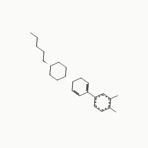 CCCCC[C@H]1CC[C@H](C2C=CC(c3ccc(F)c(F)c3)=CC2)CC1